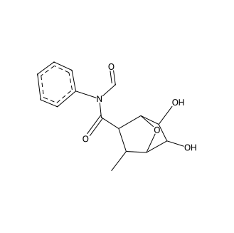 CC1C2OC(C(O)C2O)C1C(=O)N(C=O)c1ccccc1